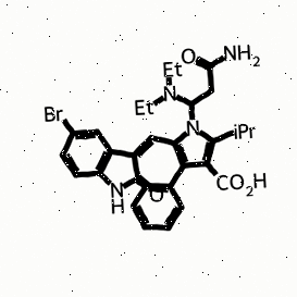 CCN(CC)C(CC(N)=O)n1c(C=C2C(=O)Nc3ccc(Br)cc32)c(-c2ccccc2)c(C(=O)O)c1C(C)C